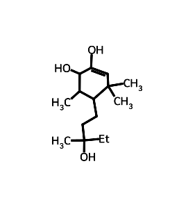 CCC(C)(O)CCC1C(C)C(O)C(O)=CC1(C)C